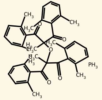 Cc1cccc(C)c1C(=O)C(C)(OC(C)(C(=O)c1c(C)cccc1C)C(=O)c1c(C)cccc1C)C(=O)c1c(C)cccc1C.P